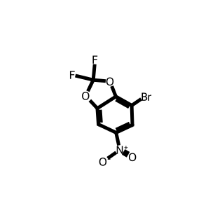 O=[N+]([O-])c1cc(Br)c2c(c1)OC(F)(F)O2